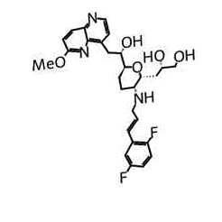 COc1ccc2nccc(C[C@H](O)[C@@H]3CC[C@@H](NCC=Cc4cc(F)ccc4F)[C@@H](C[C@H](O)CO)O3)c2n1